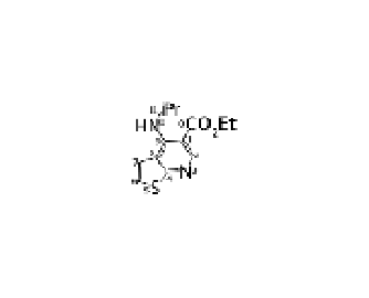 CCOC(=O)c1cnc2sccc2c1NC(C)C